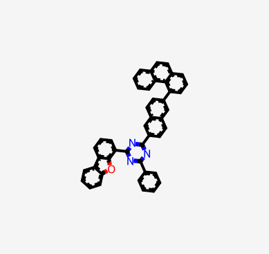 c1ccc(-c2nc(-c3ccc4cc(-c5cccc6ccc7ccccc7c56)ccc4c3)nc(-c3cccc4c3oc3ccccc34)n2)cc1